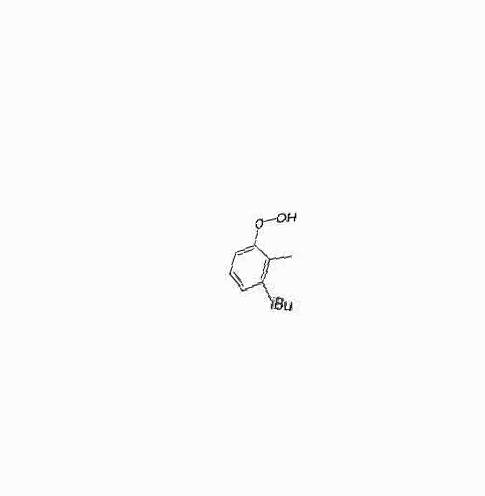 CCC(C)c1cccc(OO)c1C